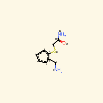 NCc1ccccc1SCC(N)=O